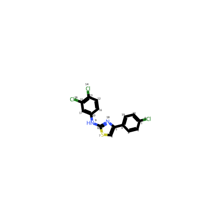 Clc1ccc(-c2csc(Nc3ccc(Cl)c(Cl)c3)n2)cc1